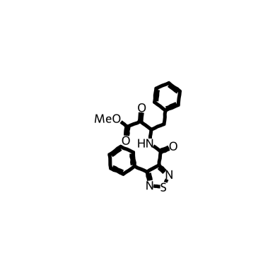 COC(=O)C(=O)C(Cc1ccccc1)NC(=O)c1nsnc1-c1ccccc1